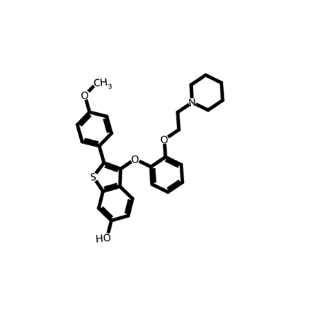 COc1ccc(-c2sc3cc(O)ccc3c2Oc2ccccc2OCCN2CCCCC2)cc1